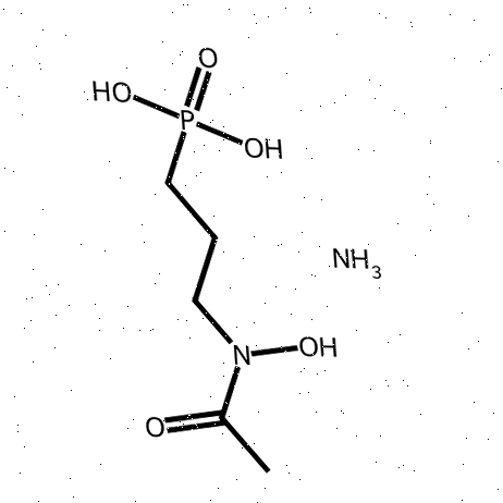 CC(=O)N(O)CCCP(=O)(O)O.N